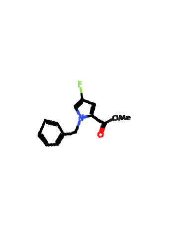 COC(=O)c1cc(F)cn1Cc1ccccc1